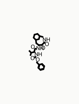 CC(C)C(NC(=O)OCc1ccccc1)C(=O)NC1CC2CCCC(CNC(=O)C1=O)C2